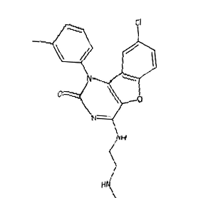 CNCCNc1nc(=O)n(-c2cccc(C)c2)c2c1oc1ccc(Cl)cc12